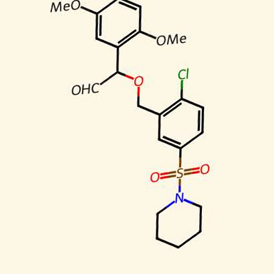 COc1ccc(OC)c(C(C=O)OCc2cc(S(=O)(=O)N3CCCCC3)ccc2Cl)c1